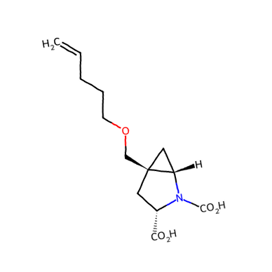 C=CCCCOC[C@@]12C[C@@H]1N(C(=O)O)[C@H](C(=O)O)C2